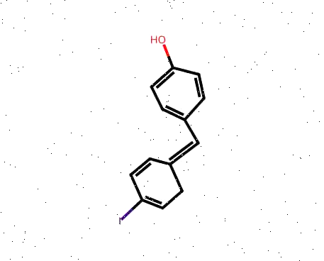 Oc1ccc(/C=C2\C=CC(I)=CC2)cc1